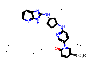 O=C(O)c1ccc(=O)n(-c2ccc(N[C@H]3CC[C@H](Nc4nc5cccnc5[nH]4)C3)nc2)c1